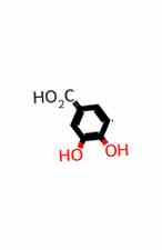 O=C(O)c1c[c]c(O)c(O)c1